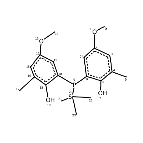 COc1cc(C)c(O)c(P(c2cc(OC)cc(C)c2O)[Si](C)(C)C)c1